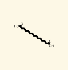 O=C(O)C=CC=CCCCCCCCCCC(=O)O